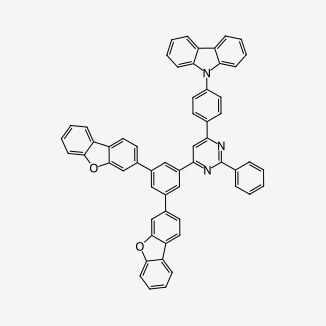 c1ccc(-c2nc(-c3ccc(-n4c5ccccc5c5ccccc54)cc3)cc(-c3cc(-c4ccc5c(c4)oc4ccccc45)cc(-c4ccc5c(c4)oc4ccccc45)c3)n2)cc1